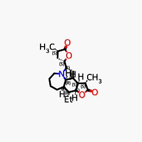 CC[C@@H]1[C@H]2CCCCN3[C@H]2[C@H](C[C@H]3[C@@H]2C[C@H](C)C(=O)O2)[C@@H]2[C@H]1OC(=O)[C@H]2C